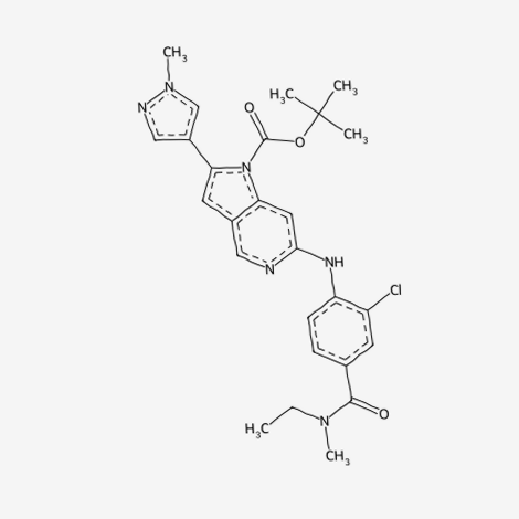 CCN(C)C(=O)c1ccc(Nc2cc3c(cn2)cc(-c2cnn(C)c2)n3C(=O)OC(C)(C)C)c(Cl)c1